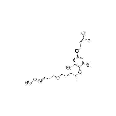 CCc1cc(OCC=C(Cl)Cl)cc(CC)c1OC(C)CCCOCCC=NOC(C)(C)C